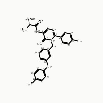 CN[C@@H](C)C(=O)Nc1cnc(-c2ccc(F)cc2)n(Cc2cncc(Oc3ccc(F)cc3)c2)c1=O